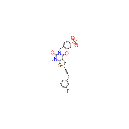 Cn1c(=O)n(Cc2ccc(S(C)(=O)=O)cc2)c(=O)c2cc(C#CCc3cccc(F)c3)sc21